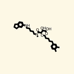 Cc1ccc(CCCCCO[C@@H](C(=O)N(C)CCCCCNc2ccc3c(c2)CCC3)[C@@H](O)C(=O)O)cc1C